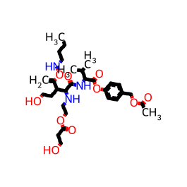 C=C(ONCCCC)C(CCO)C(NCCOC(=O)CCO)C(=O)NC(C(=O)Oc1ccc(COC(C)=O)cc1)C(C)C